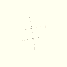 CCC(N)(O)C(N)(O)O